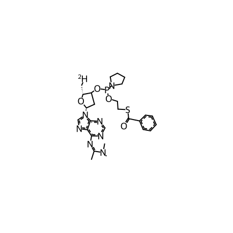 [2H]C[C@H]1O[C@@H](n2cnc3c(/N=C(/C)N(C)C)ncnc32)CC1OP(OCCSC(=O)c1ccccc1)N1CCCC1